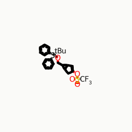 CC(C)(C)[Si](OCC1C2C=C(OS(=O)(=O)C(F)(F)F)CC21)(c1ccccc1)c1ccccc1